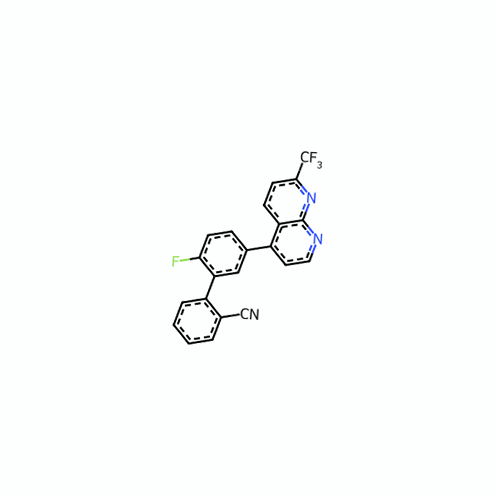 N#Cc1ccccc1-c1cc(-c2ccnc3nc(C(F)(F)F)ccc23)ccc1F